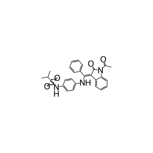 CC(=O)N1C(=O)C(=C(Nc2ccc(NS(=O)(=O)C(C)C)cc2)c2ccccc2)c2ccccc21